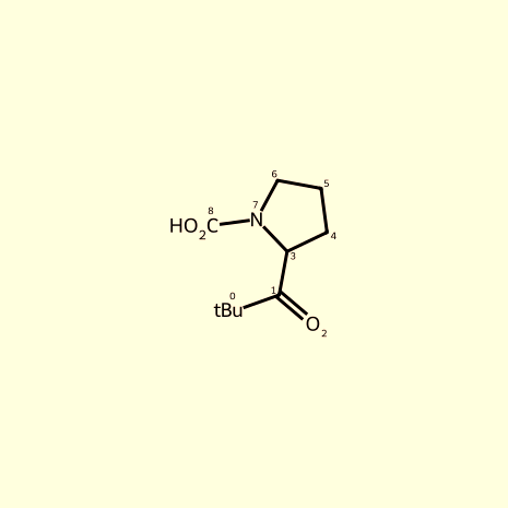 CC(C)(C)C(=O)C1CCCN1C(=O)O